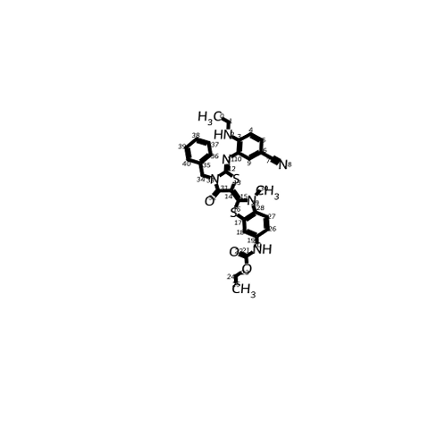 CCNc1ccc(C#N)cc1N=C1SC(=C2Sc3cc(NC(=O)OCC)ccc3N2C)C(=O)N1Cc1ccccc1